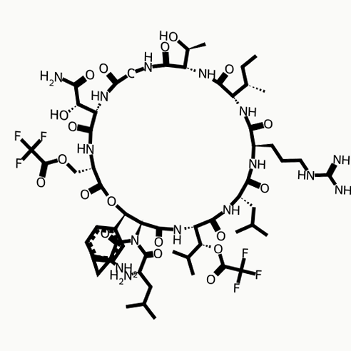 CC[C@H](C)[C@@H]1NC(=O)[C@@H](CCCNC(=N)N)NC(=O)[C@H](CC(C)C)NC(=O)[C@H]([C@H](OC(=O)C(F)(F)F)C(C)C)NC(=O)[C@@H](N(C(=O)[C@@H](N)CC(C)C)C(=O)C2(N)CC2)[C@@H](c2ccccc2)OC(=O)[C@H](COC(=O)C(F)(F)F)NC(=O)[C@H]([C@H](O)C(N)=O)NC(=O)CNC(=O)[C@H]([C@H](C)O)NC1=O